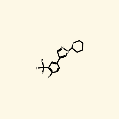 FC(F)(F)c1cc(-c2cnn(C3CCCCO3)c2)ccc1Br